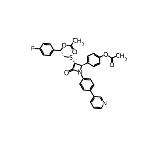 CC(=O)Oc1ccc([C@@H]2[C@@H](SC[C@@H](OC(C)=O)c3ccc(F)cc3)C(=O)N2c2ccc(-c3cccnc3)cc2)cc1